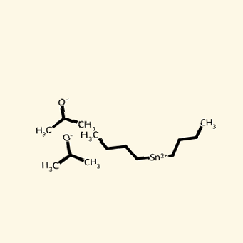 CC(C)[O-].CC(C)[O-].CCC[CH2][Sn+2][CH2]CCC